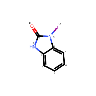 O=c1[nH]c2ccccc2n1I